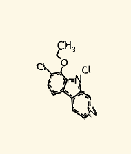 CCOc1c(Cl)ccc2c3ccncc3n(Cl)c12